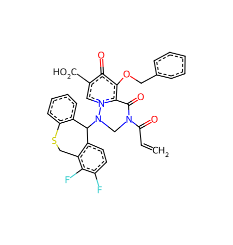 C=CC(=O)N1CN(C2c3ccccc3SCc3c2ccc(F)c3F)n2cc(C(=O)O)c(=O)c(OCc3ccccc3)c2C1=O